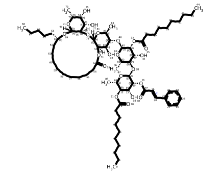 CCCCCCCCCC(=O)O[C@@H]1[C@@H](O)[C@@H](OC(=O)/C=C/c2ccccc2)[C@H](O[C@@H]2[C@@H](O)[C@@H](OC(=O)CCCCCCCCC)[C@H](O[C@@H]3[C@@H](O)[C@H]4OC(=O)CCCCCCCCC[C@H](CCCCC)O[C@@H]5O[C@H](C)[C@H](O)[C@H](O)[C@H]5O[C@@H]4O[C@H]3C)O[C@H]2C)O[C@H]1C